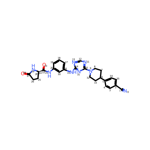 N#Cc1ccc(C2CCN(c3ncnc(Nc4cccc(NC(=O)[C@H]5CCC(=O)N5)c4)n3)CC2)cc1